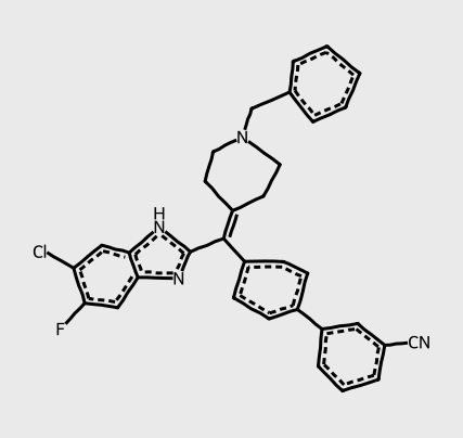 N#Cc1cccc(-c2ccc(C(=C3CCN(Cc4ccccc4)CC3)c3nc4cc(F)c(Cl)cc4[nH]3)cc2)c1